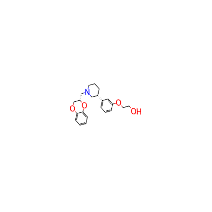 OCCOc1cccc([C@H]2CCCN(C[C@H]3COc4ccccc4O3)C2)c1